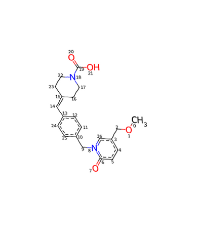 COCc1ccc(=O)n(Cc2ccc(C=C3CCN(C(=O)O)CC3)cc2)c1